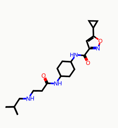 CC(C)CNCCC(=O)NC1CCC(NC(=O)c2cc(C3CC3)on2)CC1